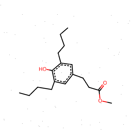 CCCCc1cc(CCC(=O)OC)cc(CCCC)c1O